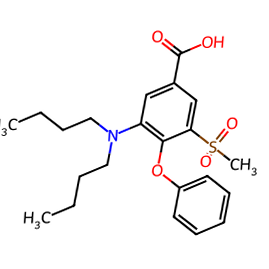 CCCCN(CCCC)c1cc(C(=O)O)cc(S(C)(=O)=O)c1Oc1ccccc1